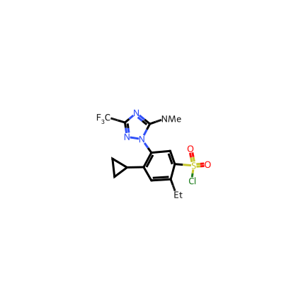 CCc1cc(C2CC2)c(-n2nc(C(F)(F)F)nc2NC)cc1S(=O)(=O)Cl